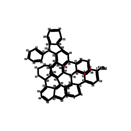 CC(C)(C)c1ccc(-c2ccccc2N(c2ccccc2-c2ccc3c(c2)c2ccccc2n3-c2ccccc2)c2ccccc2-c2cccc3cccc(C4CCCCC4)c23)cc1